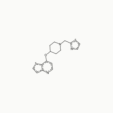 c1csc(CN2CCC(Oc3ccnc4ccsc34)CC2)n1